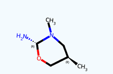 C[C@H]1CO[C@H](N)N(C)C1